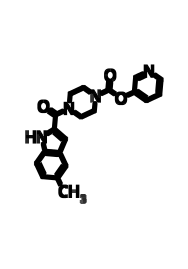 Cc1ccc2[nH]c(C(=O)N3CCN(C(=O)Oc4cccnc4)CC3)cc2c1